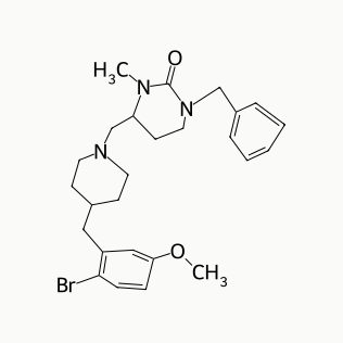 COc1ccc(Br)c(CC2CCN(CC3CCN(Cc4ccccc4)C(=O)N3C)CC2)c1